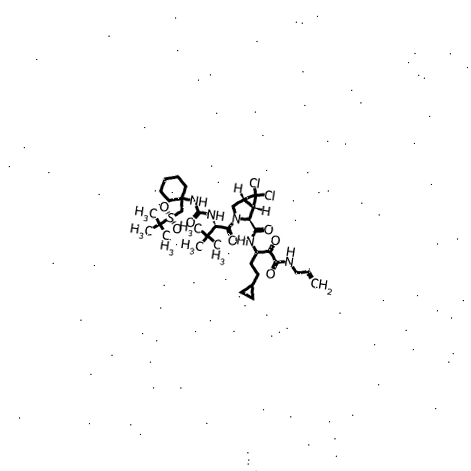 C=CCNC(=O)C(=O)C(CCC1CC1)NC(=O)[C@@H]1[C@@H]2[C@H](CN1C(=O)[C@@H](NC(=O)NC1(CS(=O)(=O)C(C)(C)C)CCCCC1)C(C)(C)C)C2(Cl)Cl